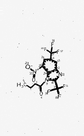 CCCC(=O)n1c(C(F)(F)F)nc2cc(C(F)(F)F)cc([N+](=O)[O-])c21